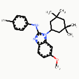 CC(C)c1ccc(Nc2nc3ccc(OC(F)(F)F)cc3n2C2CC(C)(C)CC(C)(C)C2)cc1